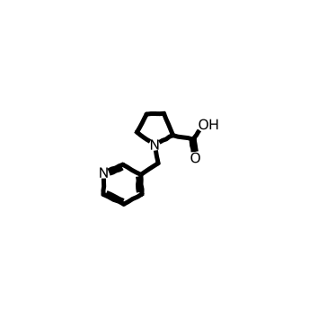 O=C(O)C1CCCN1Cc1cccnc1